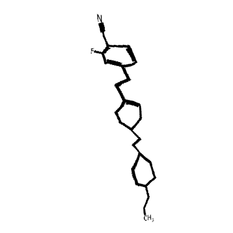 CCCC1CCC(CCC2CC=C(CCc3ccc(C#N)c(F)c3)CC2)CC1